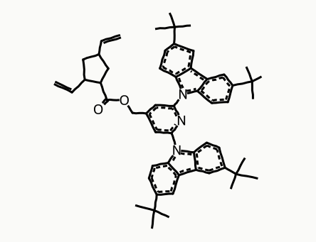 C=CC1CC(C=C)C(C(=O)OCc2cc(-n3c4ccc(C(C)(C)C)cc4c4cc(C(C)(C)C)ccc43)nc(-n3c4ccc(C(C)(C)C)cc4c4cc(C(C)(C)C)ccc43)c2)C1